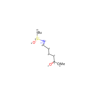 COC(=O)CCC/C=N/[S+]([O-])C(C)(C)C